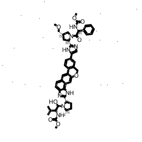 COC[C@H]1C[C@@H](c2ncc(-c3ccc4c(c3)COc3cc5c(ccc6nc([C@@H]7CC[C@H](C)N7C(O)[C@@H](NC(=O)OC)C(C)C)[nH]c65)cc3-4)[nH]2)N(C(=O)[C@H](NC(=O)OC)c2ccccc2)C1